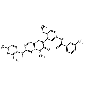 C=Cc1ccc(NC(=O)c2cccc(C(F)(F)F)c2)cc1N1Cc2cnc(Nc3ccc(C)nc3C)nc2N(C)C1=O